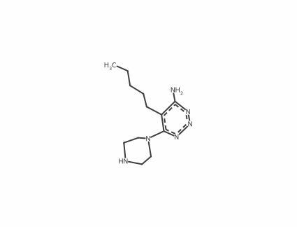 CCCCCc1c(N)nnnc1N1CCNCC1